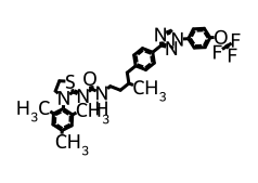 Cc1cc(C)c(N2CCS/C2=N\C(=O)NCCC(C)Cc2ccc(-c3ncn(-c4ccc(OC(F)(F)F)cc4)n3)cc2)c(C)c1